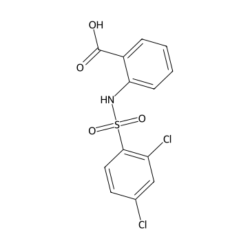 O=C(O)c1ccccc1NS(=O)(=O)c1ccc(Cl)cc1Cl